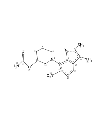 Cc1nc2c(N3CCCC(OC(N)=O)C3)c([N+](=O)[O-])ccc2n1C